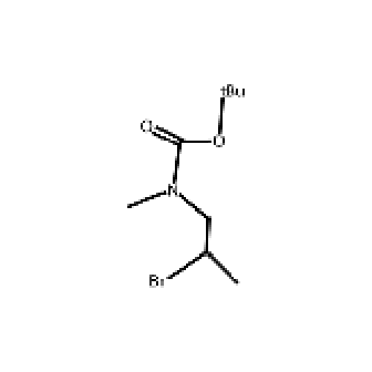 CC(Br)CN(C)C(=O)OC(C)(C)C